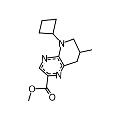 COC(=O)c1cnc2c(n1)CC(C)CN2C1CCC1